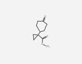 COC(=O)C1(C2CCC(=O)CC2)CC1